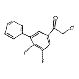 O=C(CCl)c1cc(F)c(I)c(-c2ccccc2)c1